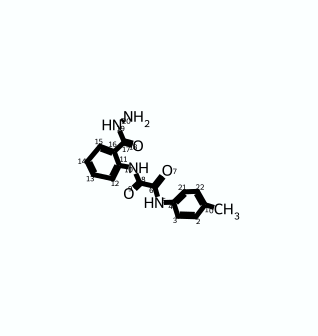 Cc1ccc(NC(=O)C(=O)Nc2ccccc2C(=O)NN)cc1